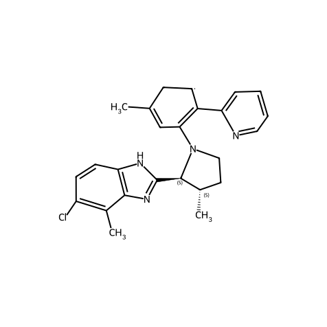 CC1=CC(N2CC[C@H](C)[C@H]2c2nc3c(C)c(Cl)ccc3[nH]2)=C(c2ccccn2)[CH]C1